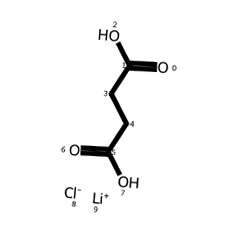 O=C(O)CCC(=O)O.[Cl-].[Li+]